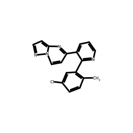 Cc1ccc(Cl)cc1-c1ncccc1-c1ccn2nccc2n1